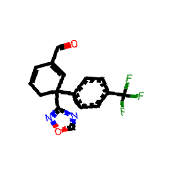 O=CC1=CC(c2ccc(C(F)(F)F)cc2)(c2ncon2)CC=C1